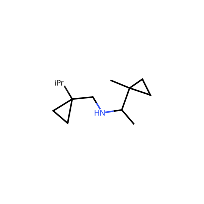 CC(NCC1(C(C)C)CC1)C1(C)CC1